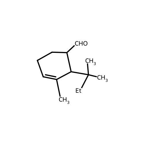 CCC(C)(C)C1C(C)=CCCC1C=O